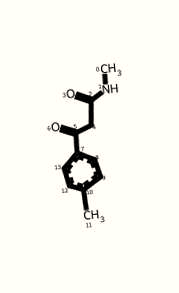 CNC(=O)CC(=O)c1ccc(C)cc1